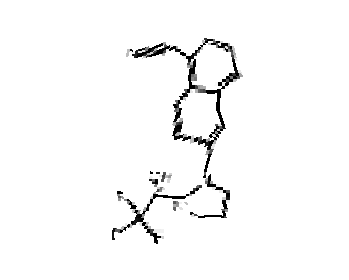 N#Cc1cccc2cc(N3CCC[C@@H]3[C@@H](O)C(F)(F)F)ccc12